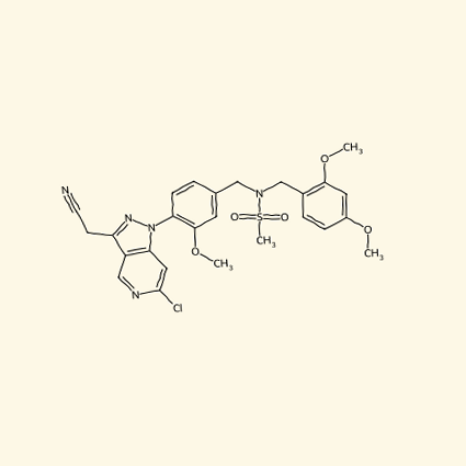 COc1ccc(CN(Cc2ccc(-n3nc(CC#N)c4cnc(Cl)cc43)c(OC)c2)S(C)(=O)=O)c(OC)c1